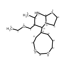 CCOCC1C(C)NC2SCCN2C1C1CCCOCOCC1